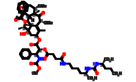 CO[C@H]1C(=O)[C@]2(C)[C@@H](OC)C[C@H]3OC[C@@]3(OC(C)=O)[C@H]2C[C@@]2(C)C1=C(C)[C@@H](OC(=O)[C@H](OC(=O)CCC(=O)NCCCC[C@H](NC(=O)N[C@@H](CCC(=O)O)C(=O)O)C(=O)O)[C@@H](NC(=O)OC(C)(C)C)c1ccccc1)C[C@@]2(O)[C@H](C)OC(=O)c1ccccc1